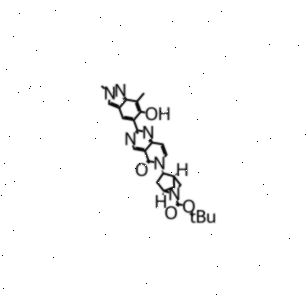 Cc1c(O)c(-c2ncc3c(=O)n([C@H]4C[C@H]5C[C@@H]4CN5C(=O)OC(C)(C)C)ccc3n2)cc2cn(C)nc12